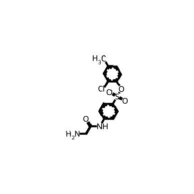 Cc1ccc(OS(=O)(=O)c2ccc(NC(=O)CN)cc2)c(Cl)c1